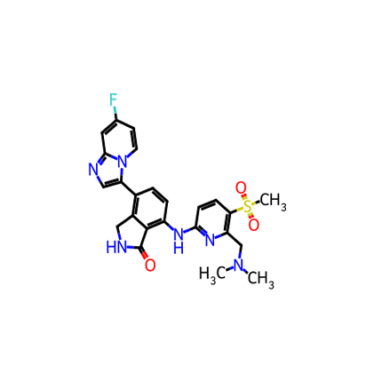 CN(C)Cc1nc(Nc2ccc(-c3cnc4cc(F)ccn34)c3c2C(=O)NC3)ccc1S(C)(=O)=O